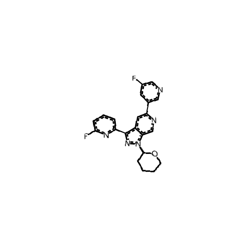 Fc1cncc(-c2cc3c(-c4cccc(F)n4)nn(C4CCCCO4)c3cn2)c1